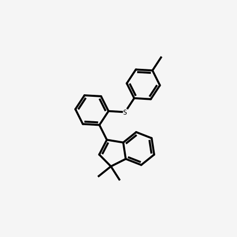 Cc1ccc(Sc2ccccc2C2=CC(C)(C)c3ccccc32)cc1